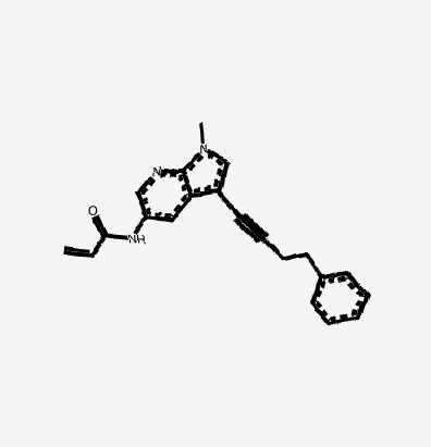 C=CC(=O)Nc1cnc2c(c1)c(C#CCCc1ccccc1)cn2C